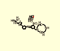 Cl.Cl.Cl.Cl.Cl.N=C(N)Nc1nc(-c2cccc(NCc3cc(CN4CCCNCCNCCCNCC4)cc([N+](=O)[O-])c3)c2)cs1